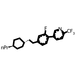 CCC[C@H]1CC[C@H](CCc2ccc(-c3ccc(C(F)(F)F)nc3)c(F)c2)CC1